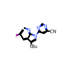 C=C(I)/C=C1/C(C(C)(C)C)=CN(c2cc(C#N)ncn2)/C1=N/C